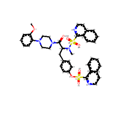 COc1ccccc1N1CCN(C(=O)C(Cc2ccc(OS(=O)(=O)c3nccc4ccccc34)cc2)N(C)S(=O)(=O)c2nccc3ccccc23)CC1